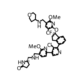 COc1nc(-c2ccnc(-c3cccc4c3CC[C@@H]4Oc3nc(OC)c(CNC4CCOCC4)cc3C(F)(F)F)c2Cl)ccc1CNC[C@H]1CCC(=O)N1